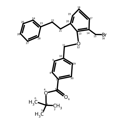 CC(C)(C)OC(=O)c1ccc(COc2c(CBr)cccc2CCc2ccccc2)cc1